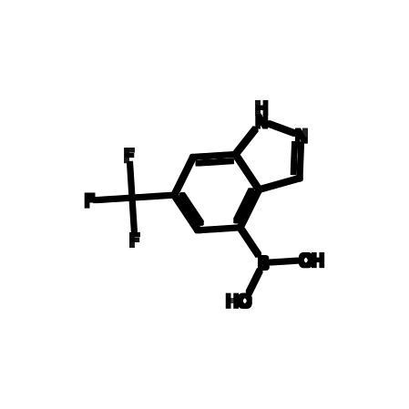 OB(O)c1cc(C(F)(F)F)cc2[nH]ncc12